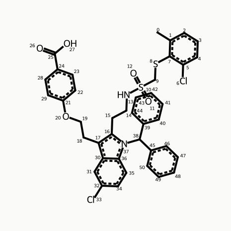 Cc1cccc(Cl)c1SCS(=O)(=O)NCCc1c(CCOc2ccc(C(=O)O)cc2)c2cc(Cl)ccc2n1C(c1ccccc1)c1ccccc1